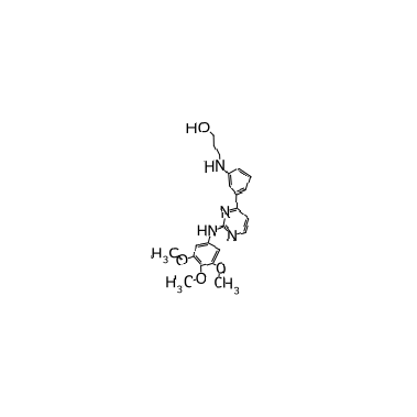 COc1cc(Nc2nccc(-c3cccc(NCCCO)c3)n2)cc(OC)c1OC